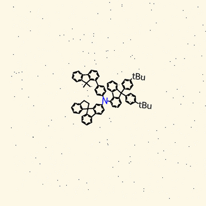 CC(C)(C)c1ccc(C2(c3ccc(C(C)(C)C)cc3)c3ccccc3-c3c(N(c4ccc(-c5cccc6c5C(C)(C)c5ccccc5-6)cc4)c4ccc5c(c4)C4(CCc6ccccc64)c4ccccc4-5)cccc32)cc1